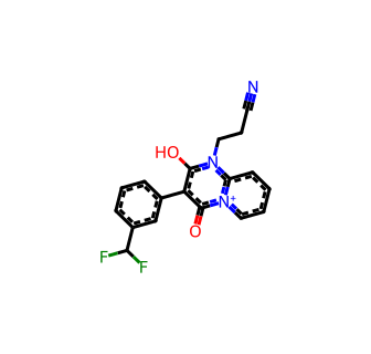 N#CCCn1c(O)c(-c2cccc(C(F)F)c2)c(=O)[n+]2ccccc12